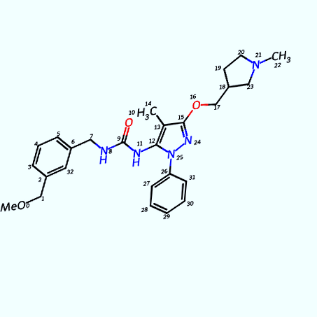 COCc1cccc(CNC(=O)Nc2c(C)c(OCC3CCN(C)C3)nn2-c2ccccc2)c1